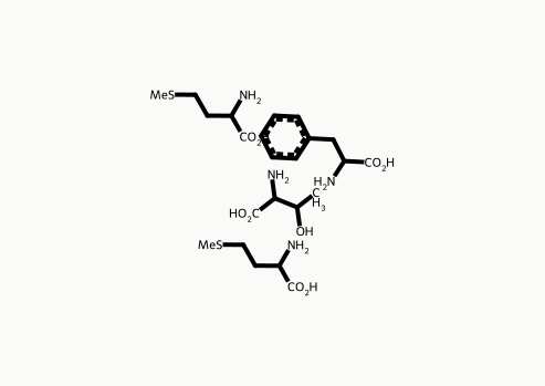 CC(O)C(N)C(=O)O.CSCCC(N)C(=O)O.CSCCC(N)C(=O)O.NC(Cc1ccccc1)C(=O)O